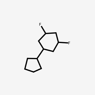 FC1CC(F)CC(C2CCCC2)C1